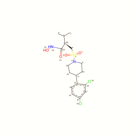 CC(C)[C@@H](CS(=O)(=O)N1CCC(c2ccc(Cl)cc2Cl)CC1)C(=O)NO